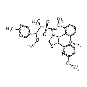 COc1cccc(C2SCN(NS(=O)(=O)[C@H](C)[C@@H](OC)c3cnc(C)nc3)C2c2c(OC)cccc2OC)n1